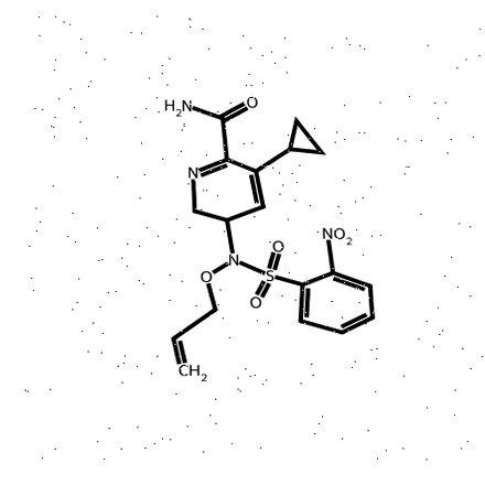 C=CCON(C1C=C(C2CC2)C(C(N)=O)=NC1)S(=O)(=O)c1ccccc1[N+](=O)[O-]